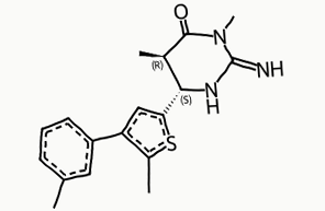 Cc1cccc(-c2cc([C@H]3NC(=N)N(C)C(=O)[C@@H]3C)sc2C)c1